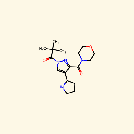 CC(C)(C)C(=O)n1cc(C2CCCN2)c(C(=O)N2CCOCC2)n1